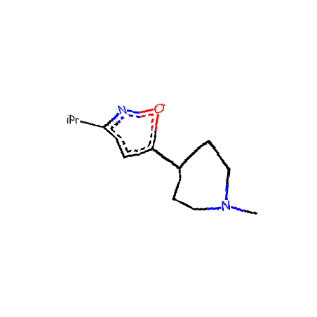 CC(C)c1cc(C2CCN(C)CC2)on1